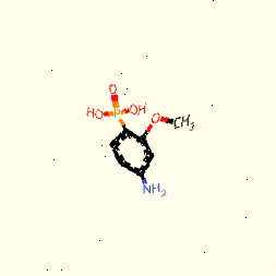 COc1cc(N)ccc1P(=O)(O)O